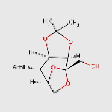 CC(=O)N[C@@H]1[C@H]2OC(C)(C)O[C@H]2[C@]2(CO)OC[C@@H]1O2